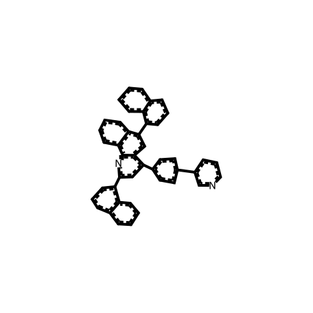 c1cncc(-c2ccc(-c3cc(-c4cccc5ccccc45)nc4c3cc(-c3cccc5ccccc35)c3ccccc34)cc2)c1